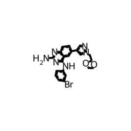 Nc1nc(Nc2cccc(Br)c2)c2cc(-c3cnn(CC4OCCO4)c3)ccc2n1